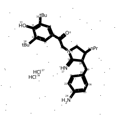 CCCC1CN(CC(=O)c2cc(C(C)(C)C)c(O)c(C(C)(C)C)c2)C(=N)C1Cc1ccc(N)cc1.Cl.Cl